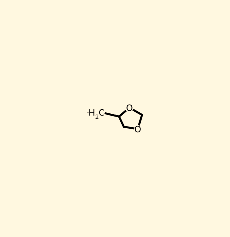 [CH2]C1COCO1